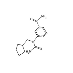 NC(=O)c1cccc(N(CC2CCCC2)C(N)=O)c1